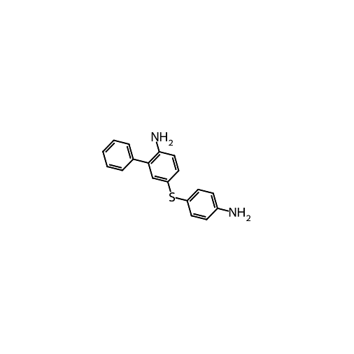 Nc1ccc(Sc2ccc(N)c(-c3ccccc3)c2)cc1